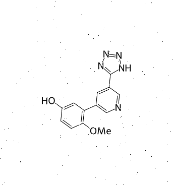 COc1ccc(O)cc1-c1cncc(-c2nnn[nH]2)c1